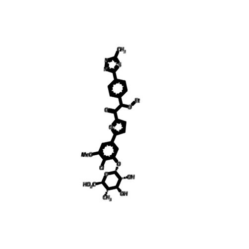 CCOC(C(=O)c1ccc(-c2cc(OC)c(Cl)c(O[C@H]3O[C@H](C(=O)O)[C@@H](C)[C@H](O)[C@H]3O)c2)o1)c1ccc(-c2nnc(C)s2)cc1